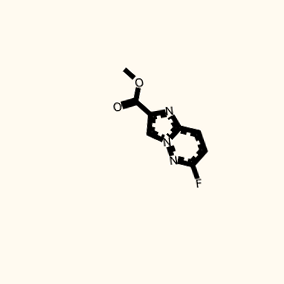 COC(=O)c1cn2nc(F)ccc2n1